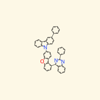 c1ccc(-c2ccc3c(c2)c2ccccc2n3-c2ccc3c(c2)oc2cccc(-c4nc(-c5ccccc5)nc5ccccc45)c23)cc1